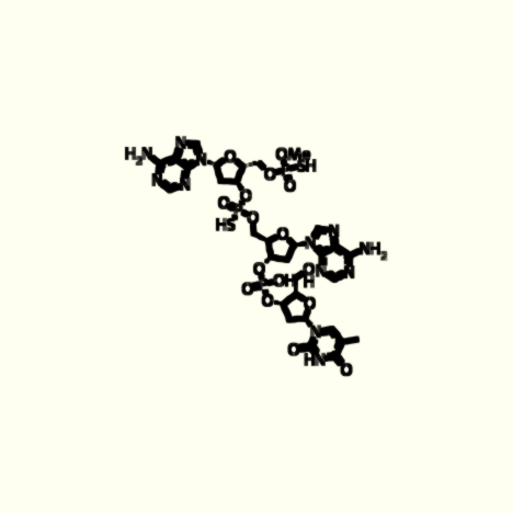 COP(=O)(S)OC[C@H]1O[C@@H](n2cnc3c(N)ncnc32)C[C@@H]1OP(=O)(S)OC[C@H]1O[C@@H](n2cnc3c(N)ncnc32)C[C@@H]1OP(=O)(O)O[C@H]1C[C@H](n2cc(C)c(=O)[nH]c2=O)O[C@@H]1CO